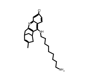 CC1=CC2Cc3nc4cc(Cl)ccc4c(NCCCCCCCCCN)c3C(C1)C2